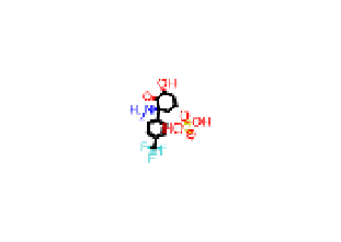 NC1(c2ccc(C(F)(F)F)cc2)CCCC(O)C1=O.O=S(=O)(O)O